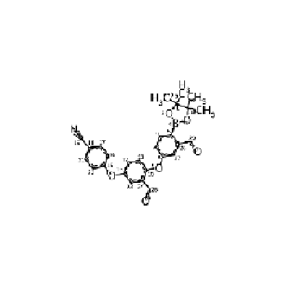 CC1(C)OB(c2ccc(Oc3ccc(Oc4ccc(C#N)cc4)cc3C=O)cc2C=O)OC1(C)C